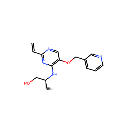 C=Cc1ncc(OCc2cccnc2)c(N[C@H](CO)CCCC)n1